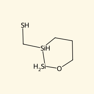 SC[SiH]1CCCO[SiH2]1